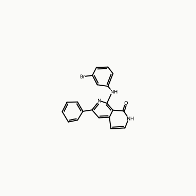 O=c1[nH]ccc2cc(-c3ccccc3)nc(Nc3cccc(Br)c3)c12